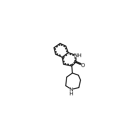 O=c1[nH]c2ccccc2cc1C1CCCNCC1